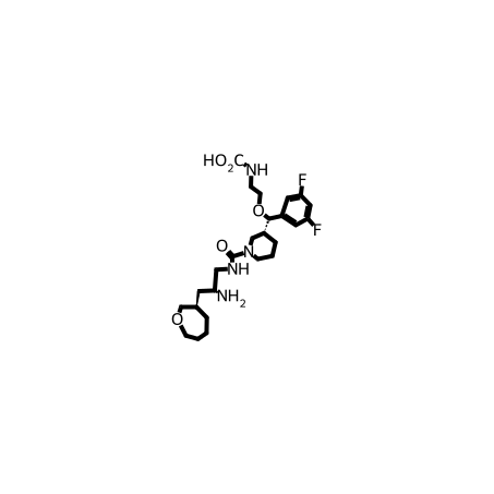 N[C@@H](CNC(=O)N1CCC[C@@H](C(OCCNC(=O)O)c2cc(F)cc(F)c2)C1)C[C@H]1CCCCOC1